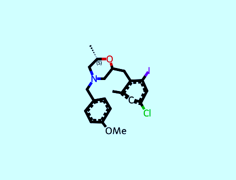 COc1ccc(CN2CC(Cc3c(C)cc(Cl)cc3I)O[C@@H](C)C2)cc1